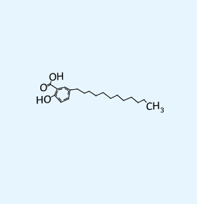 CCCCCCCCCCCCc1ccc(O)c(C(=O)O)c1